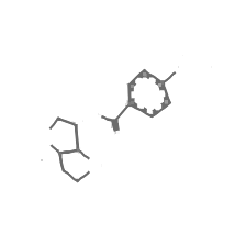 C[C@]12OCC[C@H]1OC[C@@H]2OC(=O)c1ccc(C=O)cc1